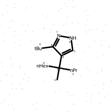 CCCCCCC(C)(CCC)c1c[nH]nc1C(C)(C)C